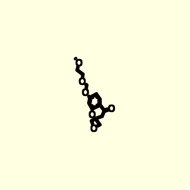 COCCOCOc1ccc2c(c1)OC1(COC1)CC2=O